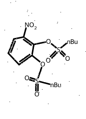 CCCCS(=O)(=O)Oc1cccc([N+](=O)[O-])c1OS(=O)(=O)CCCC